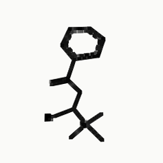 C=C(CC(Br)[Si](C)(C)C)c1ccccc1